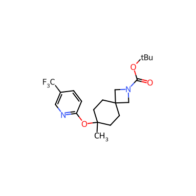 CC(C)(C)OC(=O)N1CC2(CCC(C)(Oc3ccc(C(F)(F)F)cn3)CC2)C1